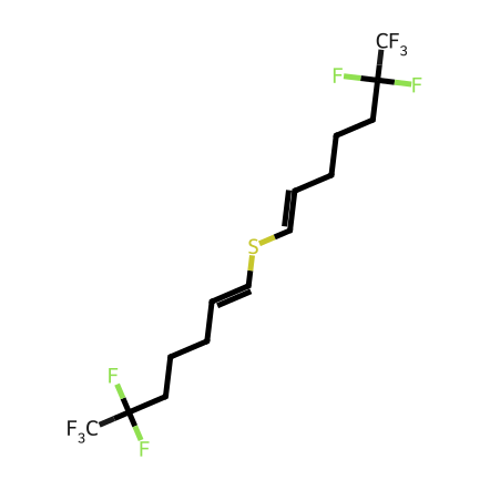 FC(F)(F)C(F)(F)CCCC=CSC=CCCCC(F)(F)C(F)(F)F